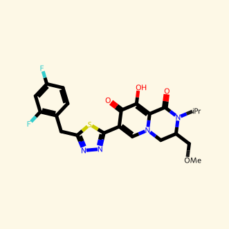 COCC1Cn2cc(-c3nnc(Cc4ccc(F)cc4F)s3)c(=O)c(O)c2C(=O)N1C(C)C